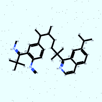 C=Nc1ccc(C(C)C(C)CCC(C)(C)c2nccc3ccc(C(C)C)cc23)cc1/C(=N\C)C(C)(C)C